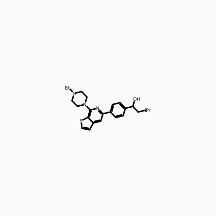 CCN1CCN(c2nc(-c3ccc(C(O)CC(C)C)cc3)cc3ccsc23)CC1